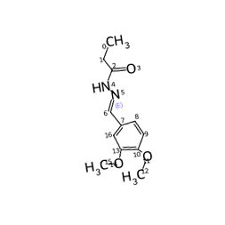 CCC(=O)N/N=C/c1ccc(OC)c(OC)c1